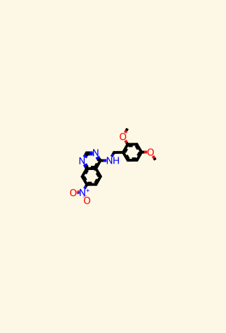 COc1ccc(CNc2ncnc3cc([N+](=O)[O-])ccc23)c(OC)c1